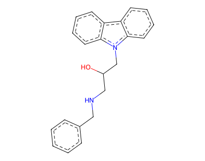 OC(CNCc1ccccc1)Cn1c2ccccc2c2ccccc21